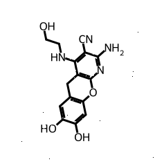 N#Cc1c(N)nc2c(c1NCCO)Cc1cc(O)c(O)cc1O2